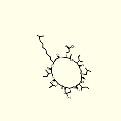 CCC(C)[C@@H]1NC(=O)C(CC(C)C)NC(=O)[C@H](C(C)CC)NC(=O)[C@@H](CCC(=O)O)NC(=O)CC(CCCCCCCC(C)C)OC(=O)[C@H](C(C)CC)NC(=O)[C@@H](CC(C)C)NC(=O)[C@H](CC(=O)O)NC1=O